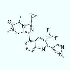 CC1C(=O)N(C)Cc2c(-c3cccc4nc(-c5cnn(C)c5)c(C(F)F)cc34)nc(C3CC3)n21